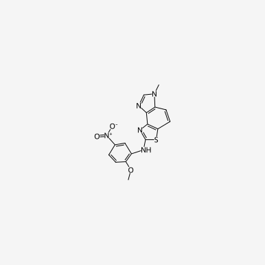 COc1ccc([N+](=O)[O-])cc1Nc1nc2c(ccc3c2ncn3C)s1